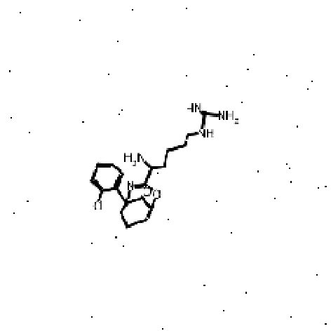 N=C(N)NCCCCC(N)C1=NC2(c3ccccc3Cl)CCCC(O1)C2=O